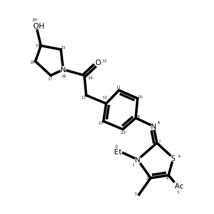 CCn1c(C)c(C(C)=O)s/c1=N/c1ccc(CC(=O)N2CCC(O)C2)cc1